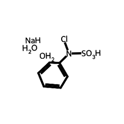 O.O.O=S(=O)(O)N(Cl)c1ccccc1.[NaH]